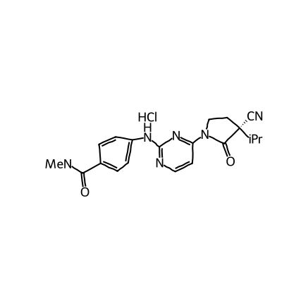 CNC(=O)c1ccc(Nc2nccc(N3CC[C@@](C#N)(C(C)C)C3=O)n2)cc1.Cl